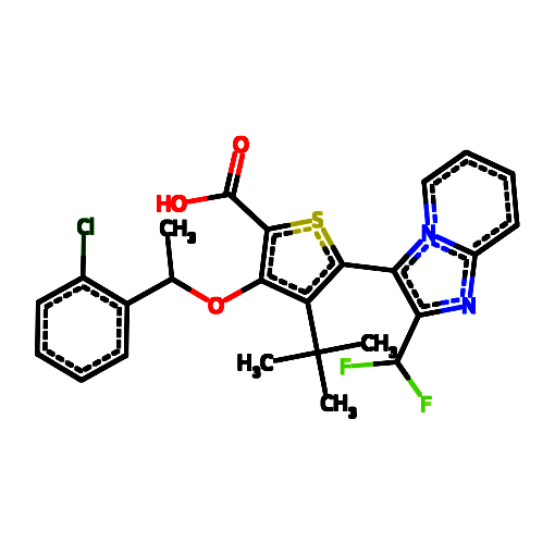 CC(Oc1c(C(=O)O)sc(-c2c(C(F)F)nc3ccccn23)c1C(C)(C)C)c1ccccc1Cl